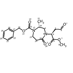 COC(=O)[C@H](CC=O)N1C[C@@H](C)N(C(=O)OCc2ccccc2)CCC1=O